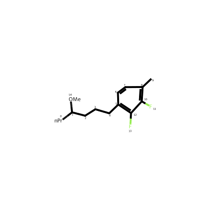 CCCC(CCCc1ccc(C)c(F)c1F)OC